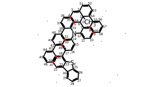 CC12C(=CC=CC1c1ccccc1N(c1ccc(-c3cccc4c3sc3ccccc34)cc1)c1ccccc1-c1ccc(-c3ccccc3)cc1)C=CC=C2c1ccccc1